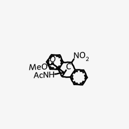 COC(=O)C1(NC(C)=O)CC2([N+](=O)[O-])c3ccccc3C1c1ccccc12